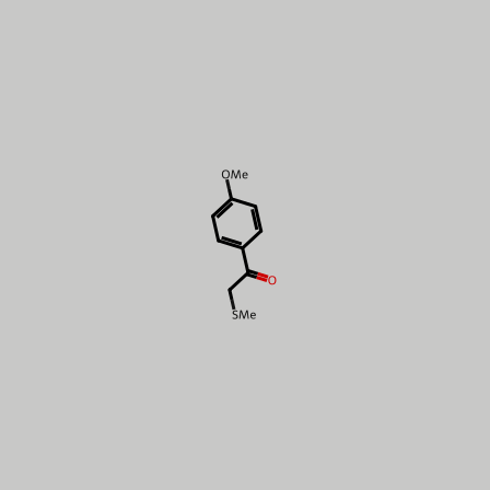 COc1ccc(C(=O)CSC)cc1